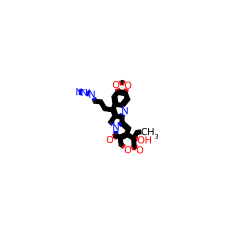 CCC1(O)C(=O)OCc2c1cc1n(c2=O)Cc2c-1nc1cc3c(cc1c2CCCN=[N+]=[N-])OCO3